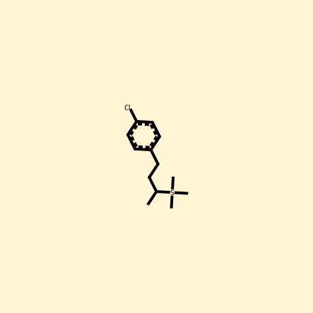 CC(CCc1ccc(Cl)cc1)S(C)(C)C